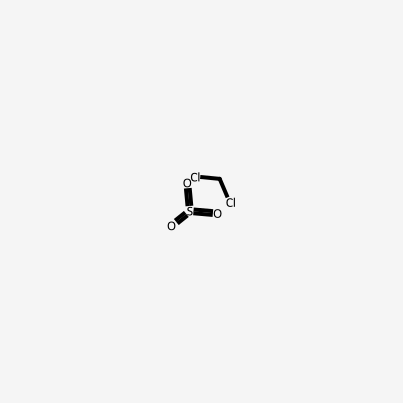 ClCCl.O=S(=O)=O